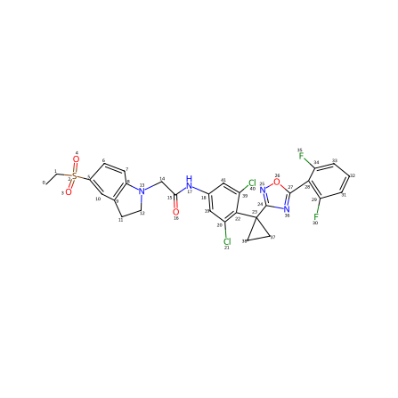 CCS(=O)(=O)c1ccc2c(c1)CCN2CC(=O)Nc1cc(Cl)c(C2(c3noc(-c4c(F)cccc4F)n3)CC2)c(Cl)c1